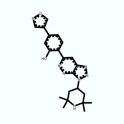 CC1(C)CC(n2nnc3cc(-c4ccc(-c5cnoc5)cc4O)nnc32)CC(C)(C)N1